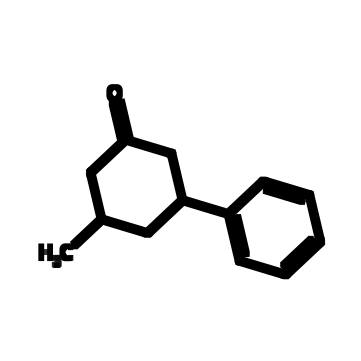 CC1CC(=O)CC(c2ccccc2)C1